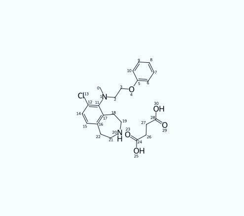 CN(CCOc1ccccc1)c1c(Cl)ccc2c1CCNCC2.O=C(O)CCC(=O)O